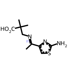 C/C(=N\CC(C)(C)C(=O)O)c1csc(N)n1